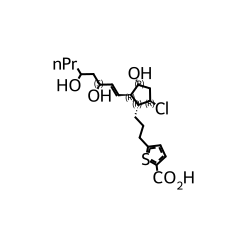 CCCC(O)C[C@H](O)C=C[C@@H]1[C@@H](CCCc2ccc(C(=O)O)s2)[C@H](Cl)C[C@H]1O